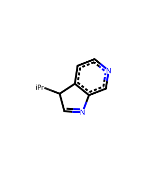 CC(C)C1C=Nc2cnccc21